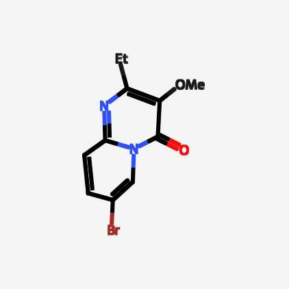 CCc1nc2ccc(Br)cn2c(=O)c1OC